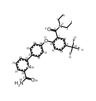 CCN(CC)C(=O)c1cc(C(F)(F)F)ccc1Oc1ccc(-c2cccc(C(N)=O)n2)cc1